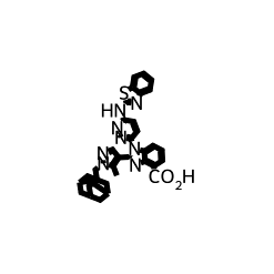 Cc1c(-c2nc3c(C(=O)O)cccc3n2-c2ccc(Nc3nc4ccccc4s3)nn2)cnn1CC12CC3CC(CC(C3)C1)C2